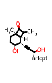 CCCCCCC[C@H](O)C#C[C@@H]1[C@@H](O)CC[C@@]2(C)C(=O)C(C)[C@@H]12